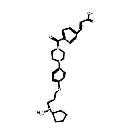 CN(CCCOc1ccc(N2CCN(C(=O)c3ccc(/C=C/C(=O)O)cc3)CC2)cc1)C1CCCC1